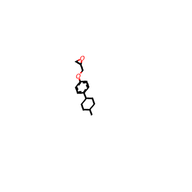 CC1CCC(c2ccc(OCC3CO3)cc2)CC1